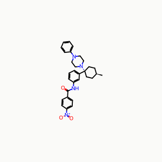 C[C@H]1CC[C@](c2cccc(NC(=O)c3ccc([N+](=O)[O-])cc3)c2)(N2CCN(c3ccccc3)CC2)CC1